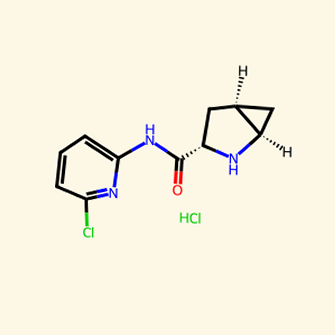 Cl.O=C(Nc1cccc(Cl)n1)[C@@H]1C[C@H]2C[C@H]2N1